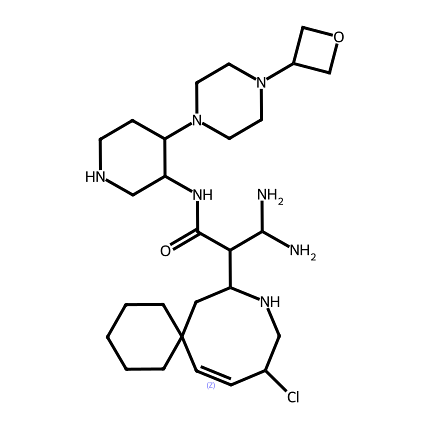 NC(N)C(C(=O)NC1CNCCC1N1CCN(C2COC2)CC1)C1CC2(/C=C\C(Cl)CN1)CCCCC2